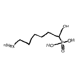 CCCCCCCCCCCC(O)P(=O)(O)O